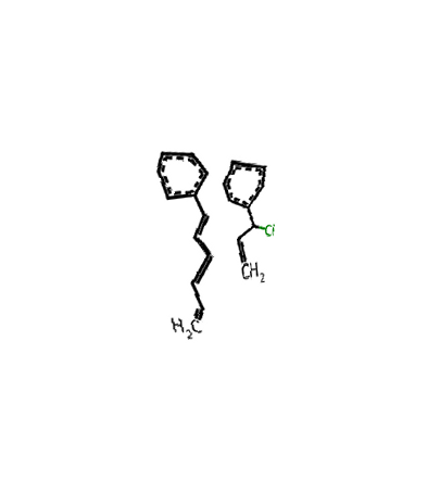 C=CC(Cl)c1ccccc1.C=CC=CC=Cc1ccccc1